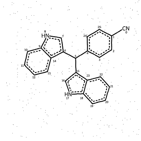 N#Cc1ccc(C(c2c[nH]c3ccccc23)c2c[nH]c3ccccc23)cc1